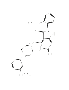 COc1cccc(N2CCN(Cc3c4c(=O)n(-c5ccccc5OC)[nH]c4cc(=O)n3C)CC2)c1